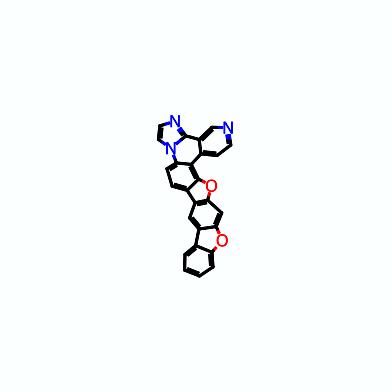 c1ccc2c(c1)oc1cc3oc4c(ccc5c4c4ccncc4c4nccn54)c3cc12